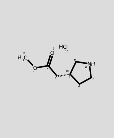 COC(=O)C[C@H]1CCNC1.Cl